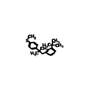 CSc1ccc(C(C)(C)Cc2cccc(C(C)(C)C)c2)cc1